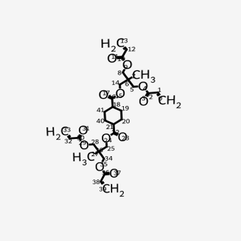 C=CC(=O)OCC(C)(COC(=O)C=C)COC(=O)C1CCC(C(=O)OCC(C)(COC(=O)C=C)COC(=O)C=C)CC1